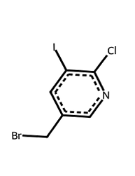 Clc1ncc(CBr)cc1I